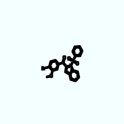 COc1cc(C(=O)c2cc3ccccc3n2S(=O)(=O)c2ccccc2)ccc1Br